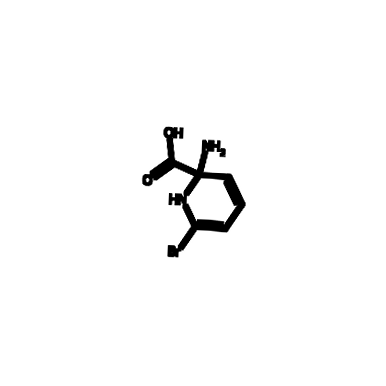 NC1(C(=O)O)C=CC=C(Br)N1